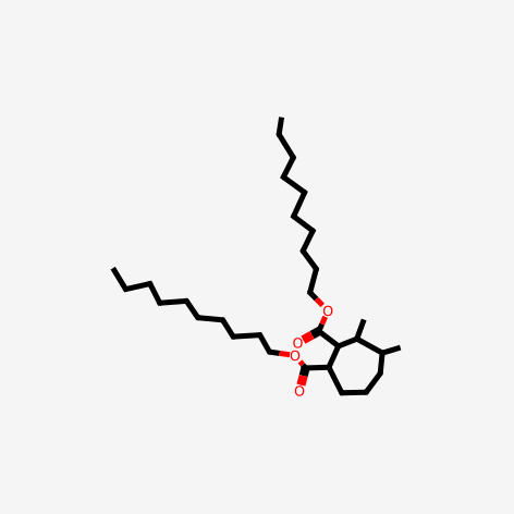 CCCCCCCCCCOC(=O)C1CCCC(C)C(C)C1C(=O)OCCCCCCCCCC